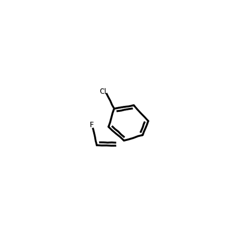 C=CF.Clc1ccccc1